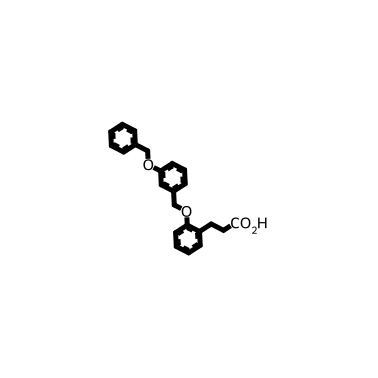 O=C(O)CCc1ccccc1OCc1cccc(OCc2ccccc2)c1